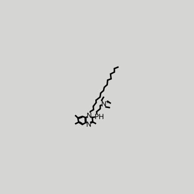 CCCCCCCCCCCCCCCCN1c2cc(C)c(C)cc2N=C(C)C1PCCC[N+](CC)(CC)CC